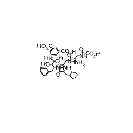 CC(C)[C@H](NC(=O)[C@@H](N)CNC(=O)C(=O)O)C(=O)N[C@@H](CC1CCCCC1)C(=O)N[C@@H](Cc1ccccc1)[C@@H](O)C(=O)Nc1cc(C(=O)O)cc(C(=O)O)c1